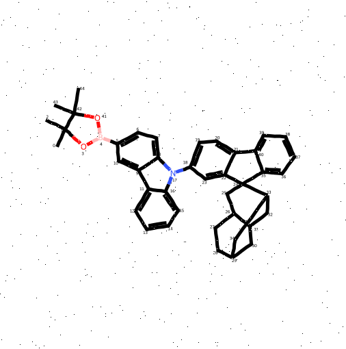 CC1(C)OB(c2ccc3c(c2)c2ccccc2n3-c2ccc3c(c2)C2(CC4CCC5CC4CC2C5)c2ccccc2-3)OC1(C)C